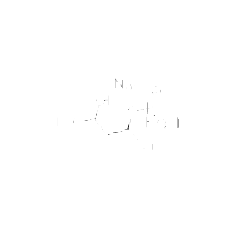 CC(O)CC(C)O[PH](=O)O.[Na]